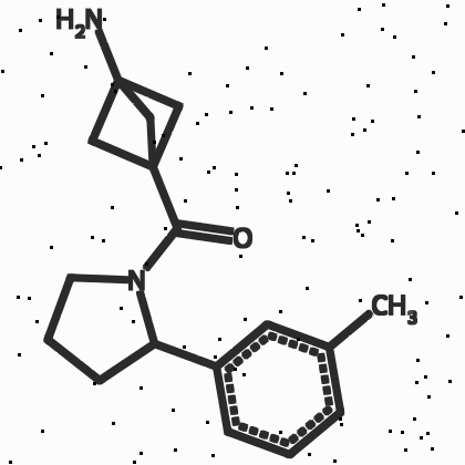 Cc1cccc(C2CCCN2C(=O)C23CC(N)(C2)C3)c1